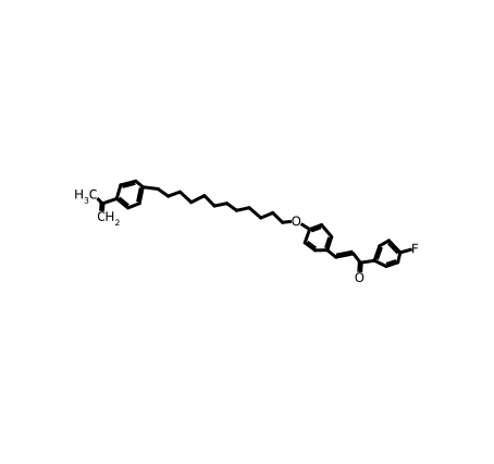 C=C(C)c1ccc(CCCCCCCCCCCCOc2ccc(/C=C/C(=O)c3ccc(F)cc3)cc2)cc1